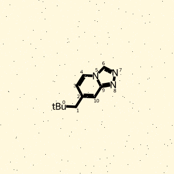 CC(C)(C)Cc1ccn2cnnc2c1